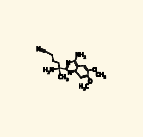 COc1cc2nc(C(C)(N)CCCC#N)nc(N)c2cc1OC